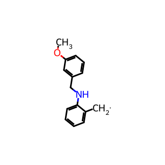 [CH2]c1ccccc1NCc1cccc(OC)c1